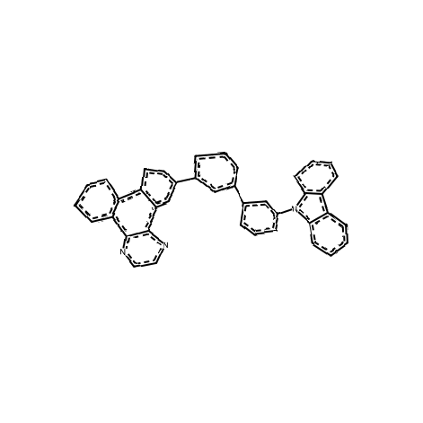 c1cc(-c2cccc(-n3c4ccccc4c4ccccc43)c2)cc(-c2ccc3c4ccccc4c4nccnc4c3c2)c1